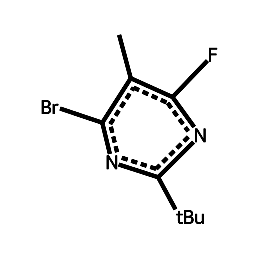 Cc1c(F)nc(C(C)(C)C)nc1Br